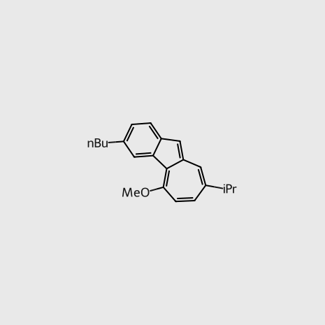 CCCCc1ccc2cc3cc(C(C)C)ccc(OC)c-3c2c1